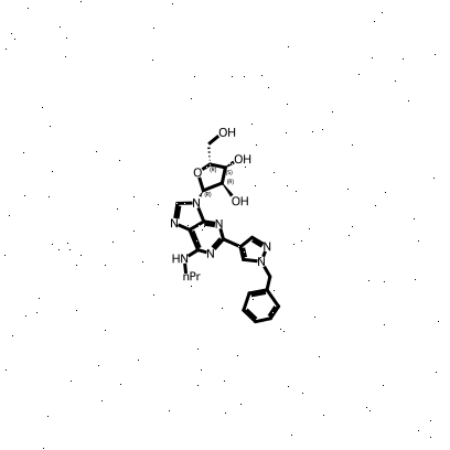 CCCNc1nc(-c2cnn(Cc3ccccc3)c2)nc2c1ncn2[C@@H]1O[C@H](CO)[C@@H](O)[C@H]1O